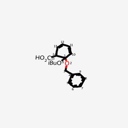 CC(C)COC1(OCc2ccccc2)C=CC=CC1C(=O)O